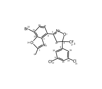 Cc1nc2c(C3=NOC(c4cc(Cl)cc(Cl)c4)(C(F)(F)F)C3)ccc(Br)c2o1